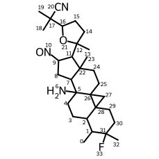 CC1C2CCC3(N)C4CC(N=O)C(C5(C)CCC(C(C)(C)C#N)O5)C4(C)CCC34CC24CCC1(C)F